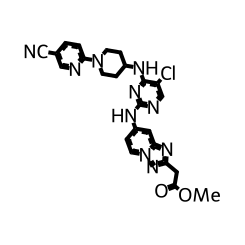 COC(=O)Cc1nc2cc(Nc3ncc(Cl)c(NC4CCN(c5ccc(C#N)cn5)CC4)n3)ccn2n1